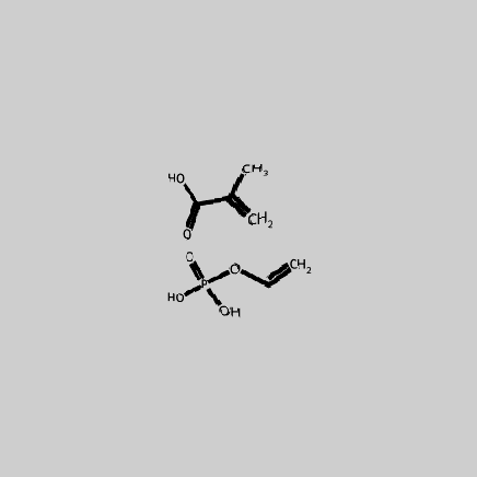 C=C(C)C(=O)O.C=COP(=O)(O)O